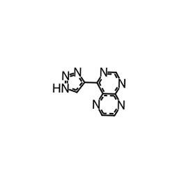 c1cnc2c(-c3c[nH]nn3)ncnc2n1